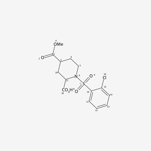 COC(=O)C1CCN(S(=O)(=O)c2ccccc2Cl)C(C(=O)O)C1